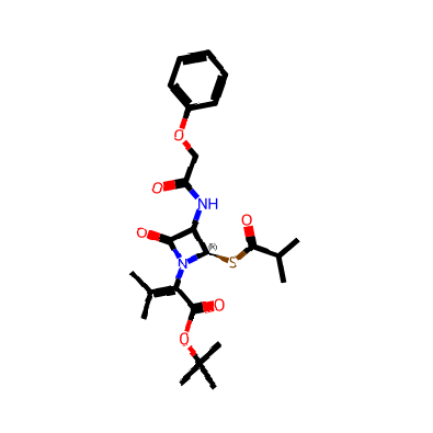 CC(C)=C(C(=O)OC(C)(C)C)N1C(=O)C(NC(=O)COc2ccccc2)[C@H]1SC(=O)C(C)C